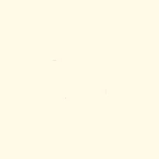 CC[C](Cl)Cl